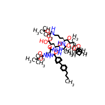 CCCCc1ccc(-c2ccc(C(=O)N[C@@H](CNC(=O)OC(C)(C)C)C(=O)N[C@@H](CCC(=O)O)C(=O)N[C@@H](C)C(=O)N[C@@H](CCCCNC(=O)OC(C)(C)C)C(=O)C[C@@H](C)B3OC4C[C@@H]5C[C@@H](C5(C)C)[C@]4(C)O3)cc2)cc1